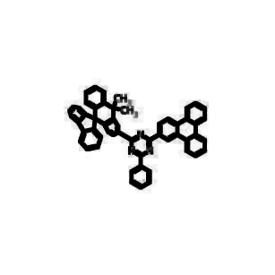 CC1(C)c2ccccc2C2(c3ccccc3-c3ccccc32)c2ccc(-c3nc(-c4ccccc4)nc(-c4ccc5c6ccccc6c6ccccc6c5c4)n3)cc21